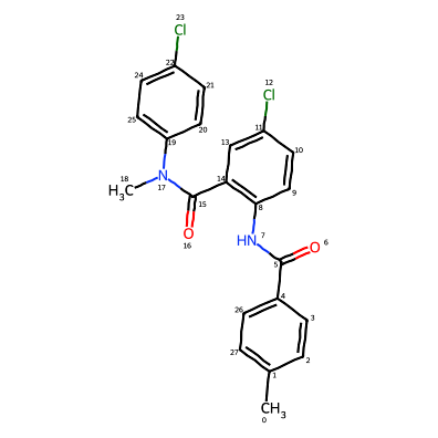 Cc1ccc(C(=O)Nc2ccc(Cl)cc2C(=O)N(C)c2ccc(Cl)cc2)cc1